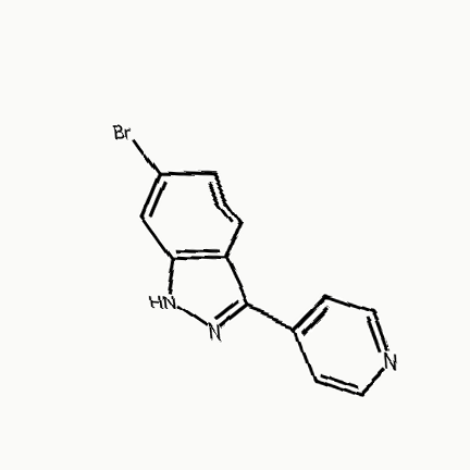 Brc1ccc2c(-c3ccncc3)n[nH]c2c1